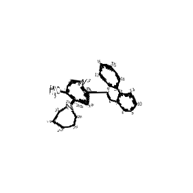 Cc1cnc(C=Cc2ccccc2-c2ccccc2)cc1N1CCCCC1